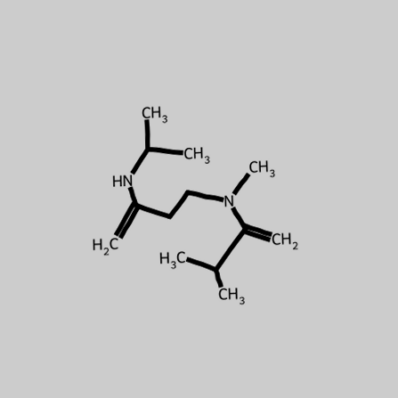 C=C(CCN(C)C(=C)C(C)C)NC(C)C